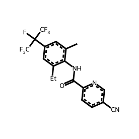 CCc1cc(C(F)(C(F)(F)F)C(F)(F)F)cc(C)c1NC(=O)c1ccc(C#N)cn1